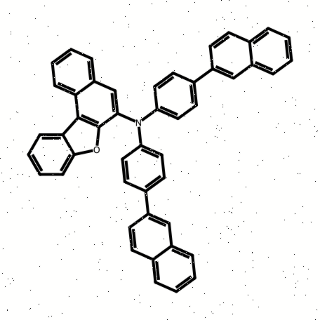 c1ccc2cc(-c3ccc(N(c4ccc(-c5ccc6ccccc6c5)cc4)c4cc5ccccc5c5c4oc4ccccc45)cc3)ccc2c1